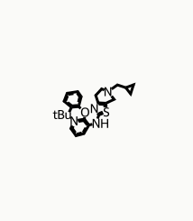 CC(C)(C)c1ccccc1Oc1ncccc1Nc1nc2c(s1)CN(CC1CC1)CC2